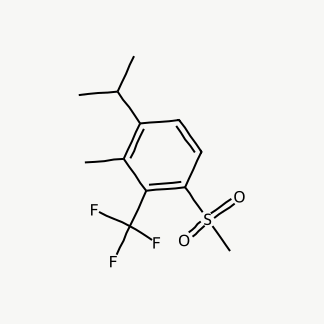 Cc1c(C(C)C)ccc(S(C)(=O)=O)c1C(F)(F)F